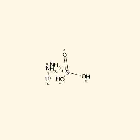 N.N.O=S(O)O.[H+]